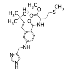 COC(=O)[C@H](CCSC)NC(=O)c1ccc(NCc2c[nH]cn2)cc1C=CC(C)(C)C